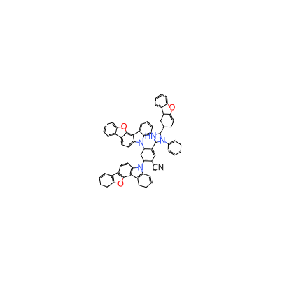 N#CC1=C(n2c3c(c4c5oc6c(c5ccc42)C=CCC6)CCC=C3)CC(n2c3ccccc3c3c4oc5ccccc5c4ccc32)C(C2NC(C3CC=C4Oc5ccccc5C4C3)N2C2=CCCC=C2)=C1